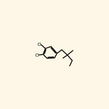 CCC(C)(C)Cc1ccc(Cl)c(Cl)c1